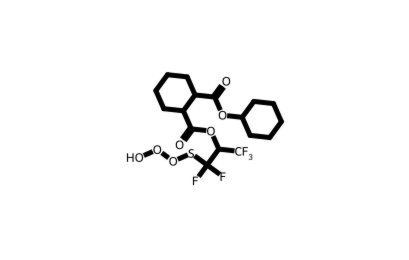 O=C(OC1CCCCC1)C1CCCCC1C(=O)OC(C(F)(F)F)C(F)(F)SOOO